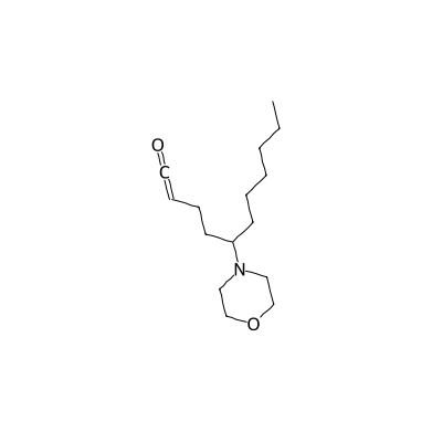 CCCCCCC(CCC=C=O)N1CCOCC1